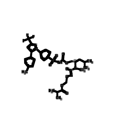 Cc1ccc(-c2cc(C(F)(F)F)nn2-c2ccc(S(=O)(=O)NC(=O)OC[C@H](CC(C)C)N(C)[N+]([O-])=NOCOC(=O)C(C)C)cc2)cc1